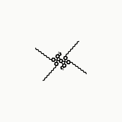 CCCCCCCCCCCCc1ccc(C2(c3ccc(CCCCCCCCCCCC)cc3)c3cc4c(cc3-c3c2ccc2sccc32)C(c2ccc(CCCCCCCCCCCC)cc2)(c2ccc(CCCCCCCCCCCC)cc2)c2ccc3sccc3c2-4)cc1